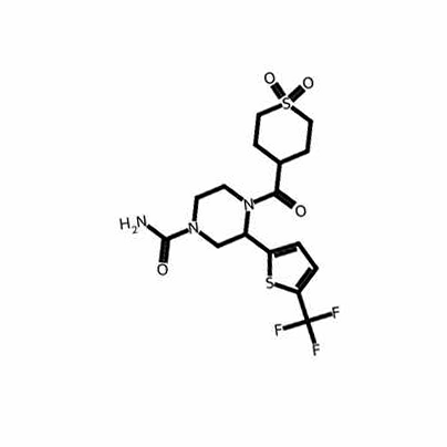 NC(=O)N1CCN(C(=O)C2CCS(=O)(=O)CC2)C(c2ccc(C(F)(F)F)s2)C1